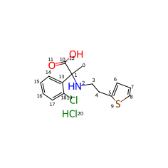 CC(NCCc1cccs1)(C(=O)O)c1ccccc1Cl.Cl